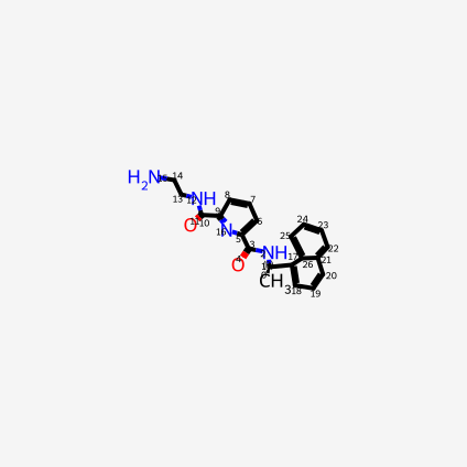 C[C@@H](NC(=O)c1cccc(C(=O)NCCN)n1)c1cccc2ccccc12